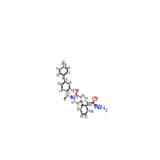 C[C@@H](c1ccc(-c2ccc(F)cc2)cc1)N1CC[C@](CCC(N)=O)(c2ccccc2)CC1=O